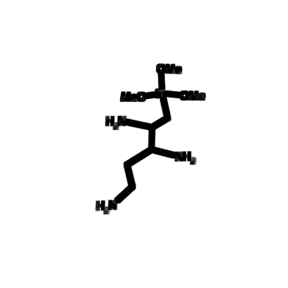 CO[Si](CC(N)C(N)CCN)(OC)OC